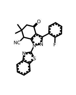 CC1(C)CC(=O)c2c(-c3ccccc3F)nn(-c3nc4ccccc4s3)c2C1C#N